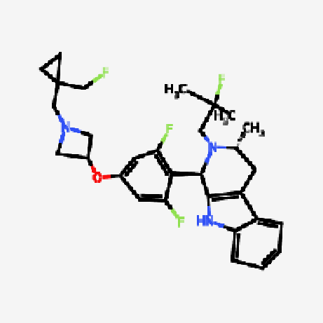 C[C@@H]1Cc2c([nH]c3ccccc23)[C@@H](c2c(F)cc(OC3CN(CC4(CF)CC4)C3)cc2F)N1CC(C)(C)F